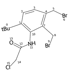 CC(C)(C)c1ccc(CBr)c(CBr)c1NC(=O)CCl